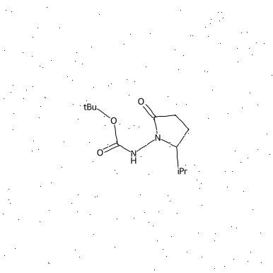 CC(C)C1CCC(=O)N1NC(=O)OC(C)(C)C